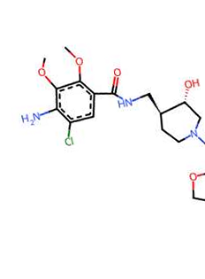 COc1c(C(=O)NC[C@@H]2CCN(CC3CCCO3)C[C@H]2O)cc(Cl)c(N)c1OC